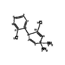 NC1(N)C=CC(c2ccccc2Cl)C(Cl)=C1